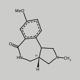 COc1ccc2c(c1)C(=O)NC[C@H]1CN(C)CC21